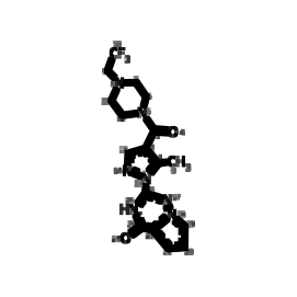 Cc1c(C(=O)N2CCN(CC(F)(F)F)CC2)cnn1-c1nn2cccc2c(=O)[nH]1